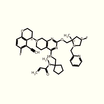 C#Cc1c(F)ccc2c1[C@H](N1CCc3c(nc(OC[C@]4(C)C[C@@H](F)CN4Cc4ccccn4)nc3NCC3(N(C)C(=O)C=C)CCCC3)C1)CCO2